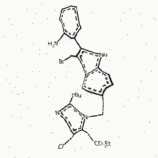 CCCCc1nc(Cl)c(C(=O)OCC)n1Cc1ccc2[nH]c(-c3ccccc3N)c(Br)c2c1